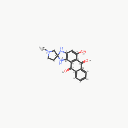 CN1CCC2(C1)Nc1cc(O)c3c(c1N2)C(=O)c1ccccc1C3=O